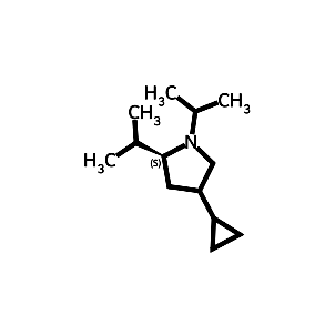 CC(C)[C@@H]1CC(C2CC2)CN1C(C)C